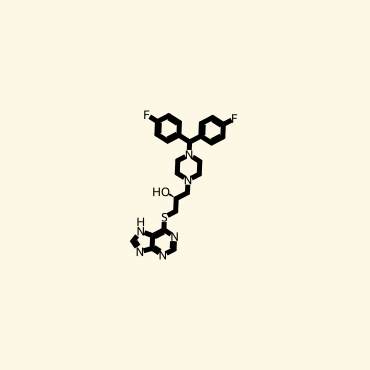 O[C@@H](CSc1ncnc2nc[nH]c12)CN1CCN(C(c2ccc(F)cc2)c2ccc(F)cc2)CC1